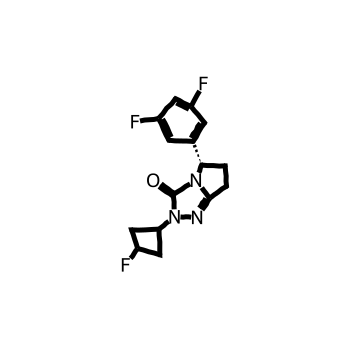 O=c1n(C2CC(F)C2)nc2n1[C@H](c1cc(F)cc(F)c1)CC2